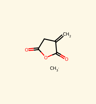 C=C1CC(=O)OC1=O.[CH3]